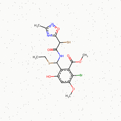 CCSC(NC(=O)C(S)c1nc(C)no1)c1c(O)cc(OC)c(Br)c1C(=O)OC